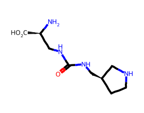 N[C@@H](CNC(=O)NC[C@@H]1CCNC1)C(=O)O